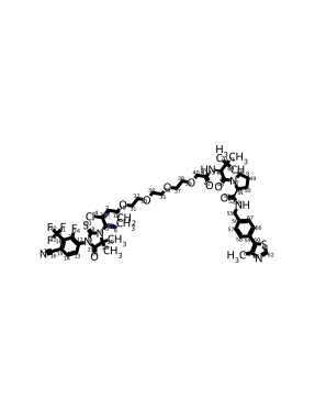 C=C(/C=C(Cl)\C(=C/C)N1C(=S)N(c2ccc(C#N)c(C(F)(F)F)c2F)C(=O)C1(C)C)OCCOCCOCCOCC(=O)N[C@H](C(=O)N1CCC[C@H]1C(=O)NCc1ccc(-c2scnc2C)cc1)C(C)(C)C